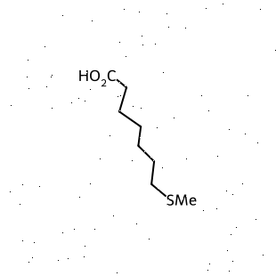 CSCCCCCCC(=O)O